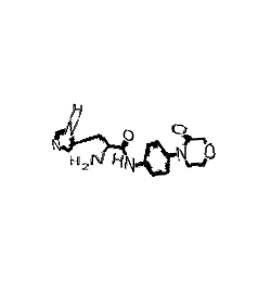 N[C@@H](Cc1cnc[nH]1)C(=O)Nc1ccc(N2CCOCC2=O)cc1